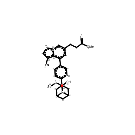 COC(=O)CCc1cc(-c2ccc(N3CC4CC(C3)N4C(O)OC(C)(C)C)nc2)c2c(C#N)cnn2c1